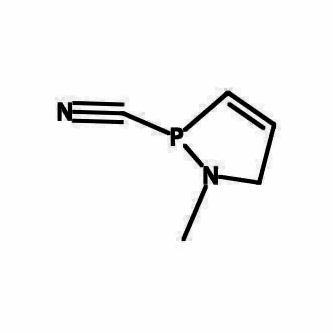 CN1CC=CP1C#N